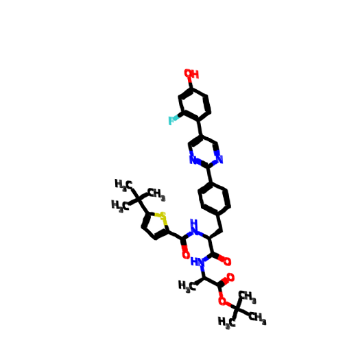 C[C@@H](NC(=O)[C@H](Cc1ccc(-c2ncc(-c3ccc(O)cc3F)cn2)cc1)NC(=O)c1ccc(C(C)(C)C)s1)C(=O)OC(C)(C)C